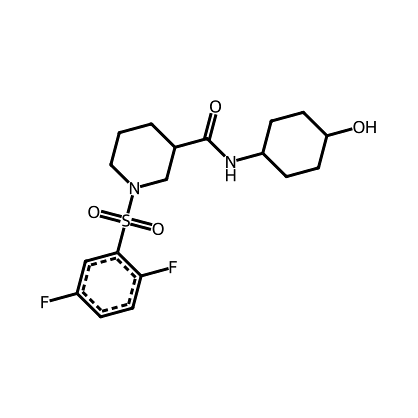 O=C(NC1CCC(O)CC1)C1CCCN(S(=O)(=O)c2cc(F)ccc2F)C1